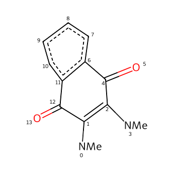 CNC1=C(NC)C(=O)c2ccccc2C1=O